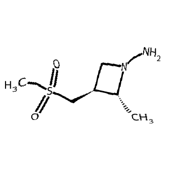 C[C@@H]1[C@@H](CS(C)(=O)=O)CN1N